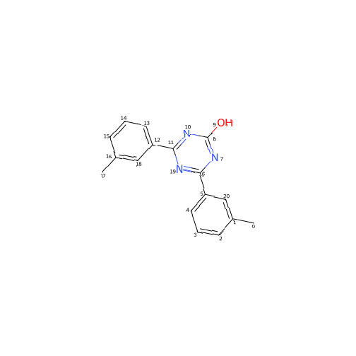 Cc1cccc(-c2nc(O)nc(-c3cccc(C)c3)n2)c1